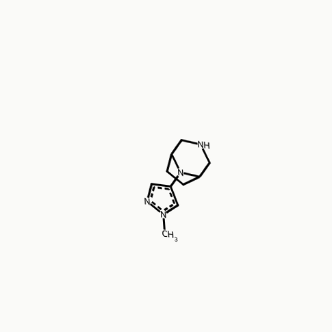 Cn1cc(N2C3CCC2CNC3)cn1